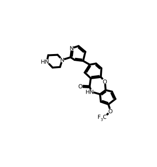 O=C1Nc2cc(OC(F)(F)F)ccc2Oc2ccc(-c3ccnc(N4CCNCC4)c3)cc21